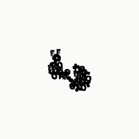 CCC(C(=O)Nc1sc(C(=O)NCCNC(=O)[C@@H](NC(=O)[C@@H](NC(=O)[C@@H](NC(=O)OC(C)(C)C)C(C)C)C(C)C)C(C)C)c(C)c1C(=O)OC)c1ccc(F)c(F)c1